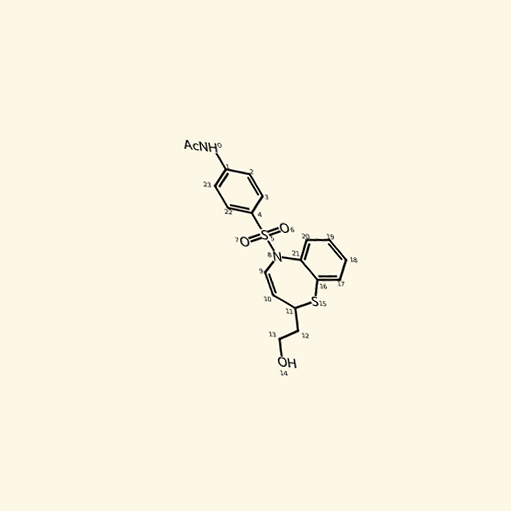 CC(=O)Nc1ccc(S(=O)(=O)N2C=CC(CCO)Sc3ccccc32)cc1